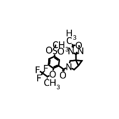 Cc1nc(C23CC2CN(C(=O)c2cc(S(C)(=O)=O)ccc2O[C@H](C)C(F)(F)F)C3)no1